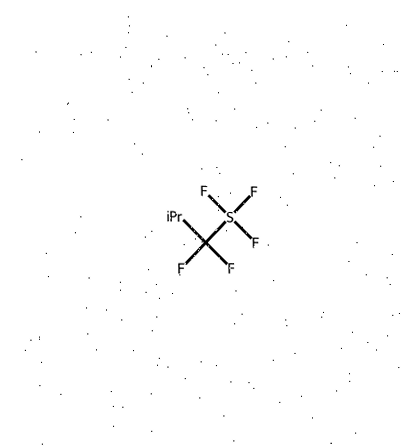 CC(C)C(F)(F)S(F)(F)F